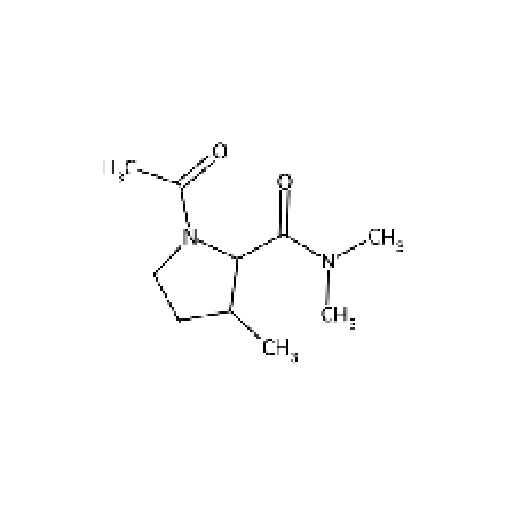 CC(=O)N1CCC(C)C1C(=O)N(C)C